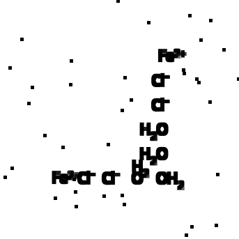 O.O.O.O.[Cl-].[Cl-].[Cl-].[Cl-].[Fe+2].[Fe+2]